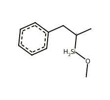 CO[SiH2][C](C)Cc1ccccc1